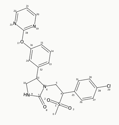 CS(=O)(=O)C(CN1C(=O)NCC1c1cccc(Oc2ncccn2)c1)c1ccc(Cl)cc1